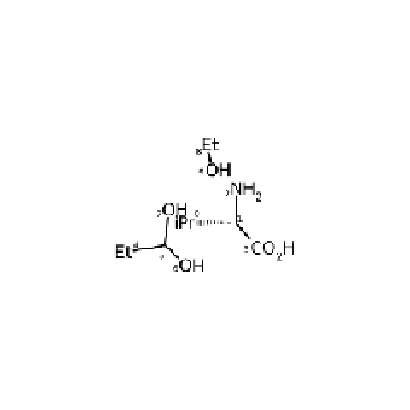 CC(C)[C@H](N)C(=O)O.CCC(O)O.CCO